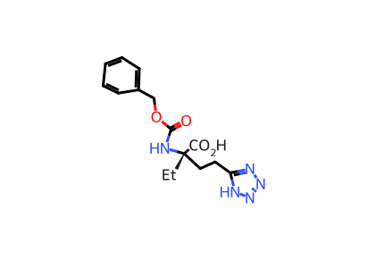 CC[C@@](CCc1nnn[nH]1)(NC(=O)OCc1ccccc1)C(=O)O